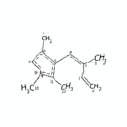 C=C/C(C)=C\c1c(C)cn(C)c1C